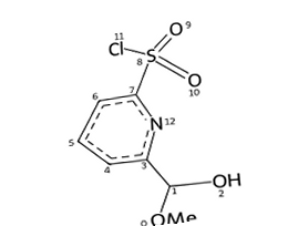 COC(O)c1cccc(S(=O)(=O)Cl)n1